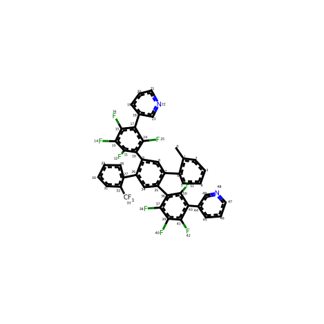 Cc1ccccc1-c1cc(-c2c(F)c(F)c(F)c(-c3cccnc3)c2F)c(-c2ccccc2C(F)(F)F)cc1-c1c(F)c(F)c(F)c(-c2cccnc2)c1F